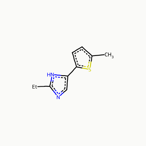 CCc1ncc(-c2ccc(C)s2)[nH]1